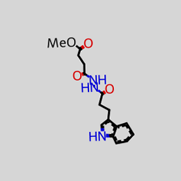 COC(=O)CCC(=O)NNC(=O)CCc1c[nH]c2ccccc12